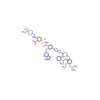 COc1cc(CN2CCN(C3CC4(C3)CN(c3ccc(C(=O)NS(=O)(=O)c5ccc(NCC6CCC(C)(O)CC6)c([N+](=O)[O-])c5)c(Oc5cnc6[nH]cc(F)c6c5)c3)C4)[C@H](c3ccccc3C(C)C)C2)ccc1OC(C)C